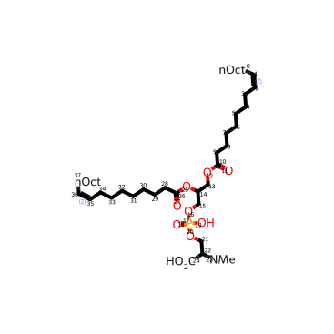 CCCCCCCC/C=C\CCCCCCCC(=O)OCC(COP(=O)(O)OCC(NC)C(=O)O)OC(=O)CCCCCCC/C=C\CCCCCCCC